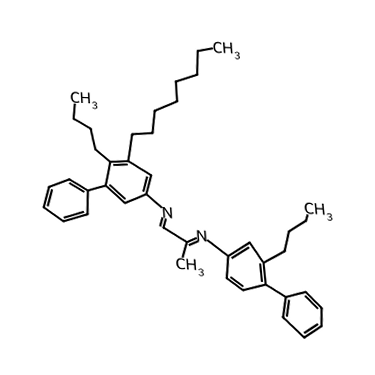 CCCCCCCCc1cc(N=CC(C)=Nc2ccc(-c3ccccc3)c(CCCC)c2)cc(-c2ccccc2)c1CCCC